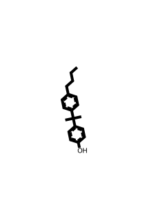 CCCCc1ccc(C(C)(C)c2ccc(O)cc2)cc1